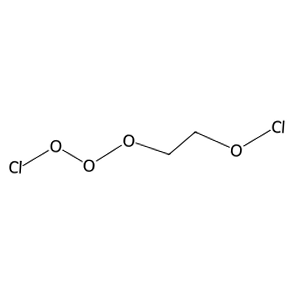 ClOCCOOOCl